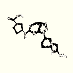 Cc1cn2cc(-n3nnc4cnc(N[C@@H]5CC[C@@H](C(N)=O)C5)nc43)ccc2n1